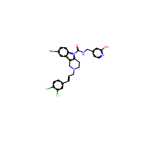 N#Cc1ccc2c(c1)c1c(n2C(=O)NCc2ccnc(O)c2)CCN(C/C=C/c2ccc(Cl)c(Cl)c2)C1